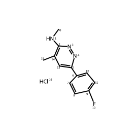 CNc1nnc(-c2ccc(F)cc2)cc1C.Cl